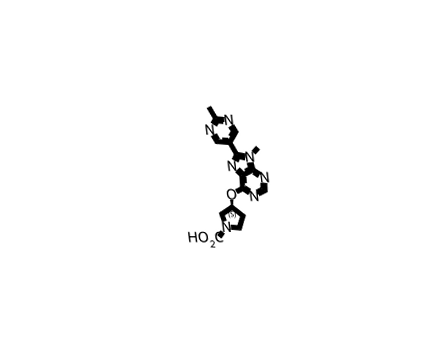 Cc1ncc(-c2nc3c(O[C@H]4CCN(C(=O)O)C4)ncnc3n2C)cn1